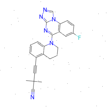 CC(C)(C#N)C#Cc1cccc2c1CCCN2c1nc2nncn2c2ccc(F)cc12